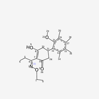 CCO/N=C(/CC)C1=C(O)CC(c2c(C)c(C)c(C)c(C)c2OC)CC1=O